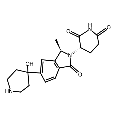 C[C@@H]1c2cc(C3(O)CCNCC3)ccc2C(=O)N1[C@H]1CCC(=O)NC1=O